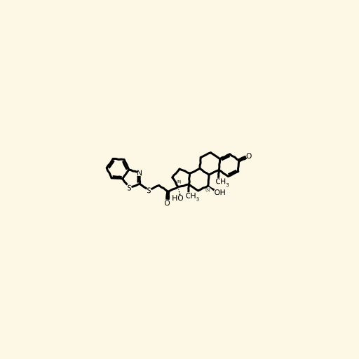 CC12C=CC(=O)C=C1CCC1C2[C@@H](O)CC2(C)C1CC[C@]2(O)C(=O)CSc1nc2ccccc2s1